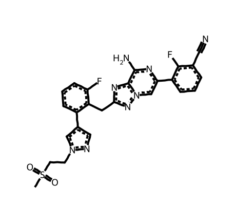 CS(=O)(=O)CCn1cc(-c2cccc(F)c2Cc2nc3c(N)nc(-c4cccc(C#N)c4F)cn3n2)cn1